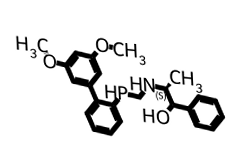 COc1cc(OC)cc(-c2ccccc2PCN[C@@H](C)C(O)c2ccccc2)c1